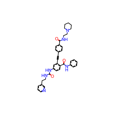 O=C(NCCc1cccnc1)Nc1ccc(C(=O)Nc2ccccc2)c(C#Cc2ccc(C(=O)NCCN3CCCCC3)cc2)c1